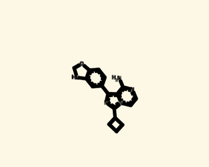 Nc1nccn2c(C3CCC3)nc(-c3ccc4c(c3)NCO4)c12